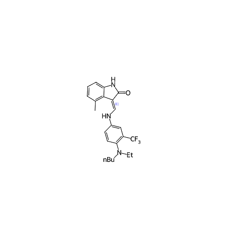 CCCCN(CC)c1ccc(N/C=C2/C(=O)Nc3cccc(C)c32)cc1C(F)(F)F